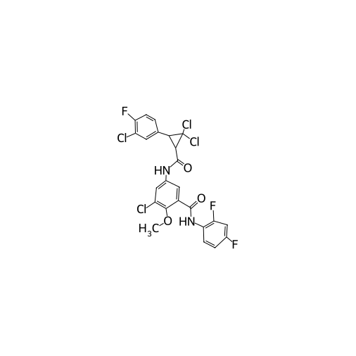 COc1c(Cl)cc(NC(=O)C2C(c3ccc(F)c(Cl)c3)C2(Cl)Cl)cc1C(=O)Nc1ccc(F)cc1F